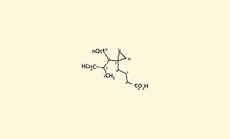 CCCCCCCCC(C(C)C(=O)O)C1(CCCC(=O)O)CC1